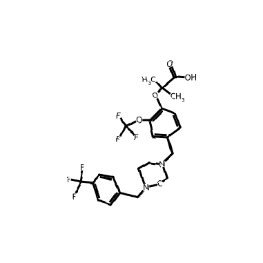 CC(C)(Oc1ccc(CN2CCN(Cc3ccc(C(F)(F)F)cc3)CC2)cc1OC(F)(F)F)C(=O)O